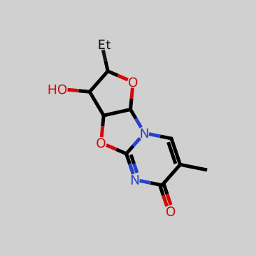 CCC1OC2C(Oc3nc(=O)c(C)cn32)C1O